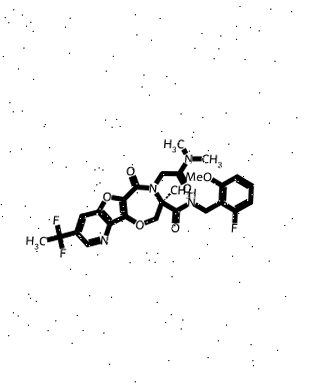 COc1cccc(F)c1CNC(=O)[C@@]1(C)COc2c(oc3cc(C(C)(F)F)cnc23)C(=O)N1CC(=O)N(C)C